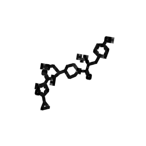 N[C@@H](Cc1ccc(O)cc1)C(=O)N1CCC(C(CO)NC(=O)c2cc(C3CC3)on2)CC1